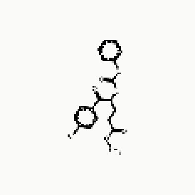 COC(=O)CCC(OC(=O)Oc1ccccc1)C(=O)c1ccc(Cl)cc1